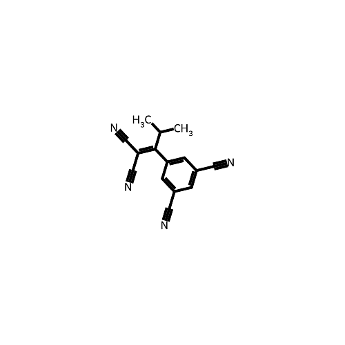 CC(C)C(=C(C#N)C#N)c1cc(C#N)cc(C#N)c1